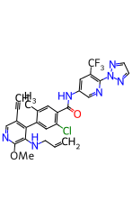 C#Cc1cnc(OC)c(NCC=C)c1-c1cc(Cl)c(C(=O)Nc2cnc(-n3nccn3)c(C(F)(F)F)c2)cc1C